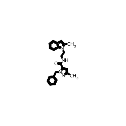 Cc1cc(C(=O)NCCn2c(C)cc3ccccc32)n(Cc2ccccc2)n1